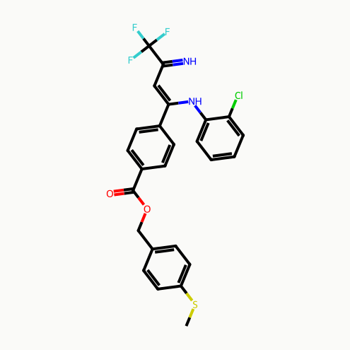 CSc1ccc(COC(=O)c2ccc(/C(=C/C(=N)C(F)(F)F)Nc3ccccc3Cl)cc2)cc1